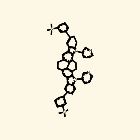 C[Si](C)(C)c1cccc(C2=Cc3c(n(-c4cccnc4)c4c5c6c(cc34)CCc3cc4c7cc(-c8cccc([Si](C)(C)C)c8)ccc7n(-c7cccnc7)c4c(c3-6)CC5)CC2)c1